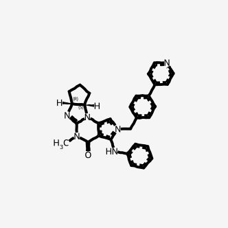 CN1C(=O)c2c(cn(Cc3ccc(-c4ccncc4)cc3)c2Nc2ccccc2)N2C1=N[C@@H]1CCC[C@@H]12